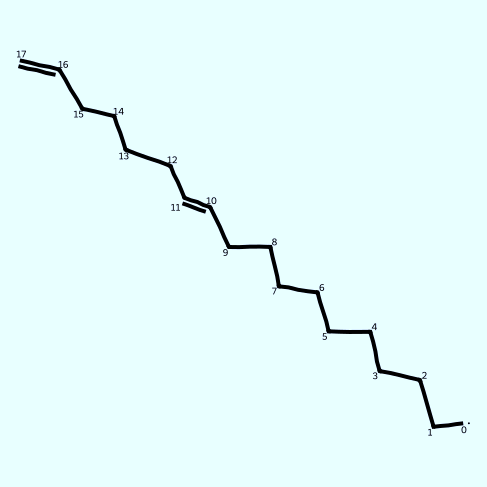 [CH2]CCCCCCCCCC=CCCCCC=C